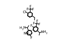 CC(N)c1ccc(F)c(C(F)(F)F)c1.CC(N)c1ccc(F)cc1.CCc1ccc(Cl)c(C(F)(F)F)c1.N